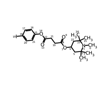 CN1C(C)(C)CC(OC(=O)CCC(=O)Oc2ccc(I)cc2)CC1(C)C